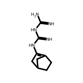 N=C(N)NC(=N)NC1=C2CCC(C2)C1